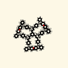 c1ccc2c(c1)c1ccccc1n2-c1ccc(-c2cc(-c3cc(-c4cc(-c5ccc(-n6c7ccccc7c7ccccc76)cc5)nc(-c5ccc(-n6c7ccccc7c7ccccc76)cc5)n4)cc(-c4cc(-c5ccc(-n6c7ccccc7c7ccccc76)cc5)nc(-c5ccc(-n6c7ccccc7c7ccccc76)cc5)n4)c3)nc(-c3ccc(-n4c5ccccc5c5ccccc54)cc3)n2)cc1